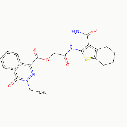 CCn1nc(C(=O)OCC(=O)Nc2sc3c(c2C(N)=O)CCCC3)c2ccccc2c1=O